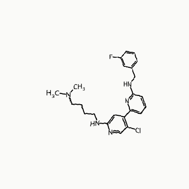 CN(C)CCCCNc1cc(-c2cccc(NCc3cccc(F)c3)n2)c(Cl)cn1